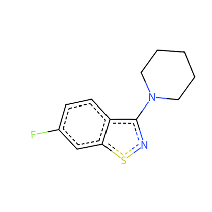 Fc1ccc2c(N3CCCCC3)nsc2c1